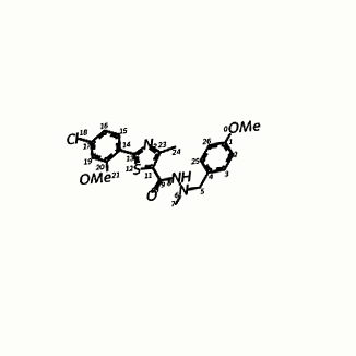 COc1ccc(CN(C)NC(=O)c2sc(-c3ccc(Cl)cc3OC)nc2C)cc1